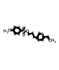 C=Cc1ccc(CCCOS(=O)(=O)c2ccc(C)cc2)cn1